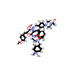 CCOc1ccc(C=CC(=O)N(Cc2ccc(N3CCN(C(C)=O)CC3)cc2)C(Cc2ccccc2)C(=O)N2CCN(Cc3ccc(N(C)C)cc3)CC2)cc1